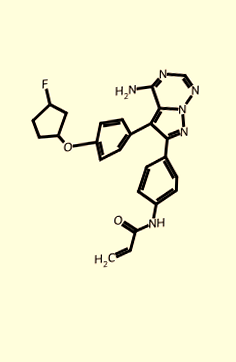 C=CC(=O)Nc1ccc(-c2nn3ncnc(N)c3c2-c2ccc(OC3CCC(F)C3)cc2)cc1